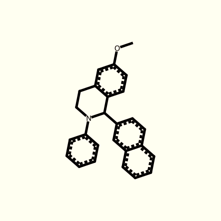 COc1ccc2c(c1)CCN(c1ccccc1)C2c1ccc2ccccc2c1